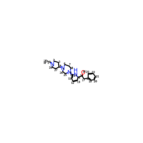 CC(C)N1CCC(N2CCCN(C3=CC=CC(C(=O)Cc4ccccc4)N3)CC2)CC1